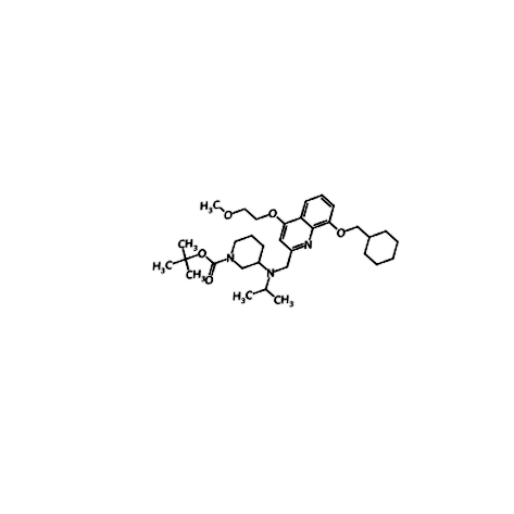 COCCOc1cc(CN(C(C)C)C2CCCN(C(=O)OC(C)(C)C)C2)nc2c(OCC3CCCCC3)cccc12